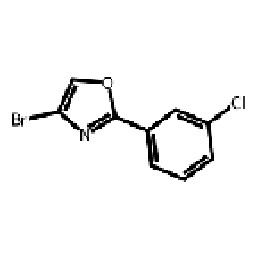 Clc1cccc(-c2nc(Br)co2)c1